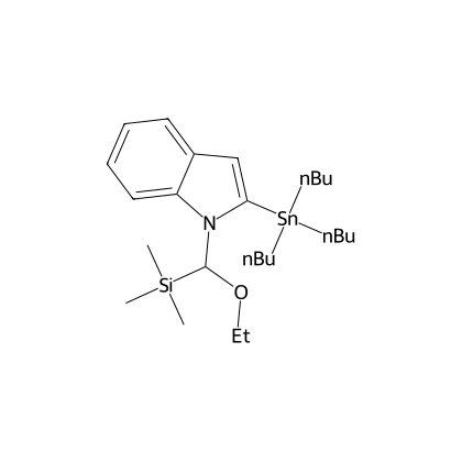 CCC[CH2][Sn]([CH2]CCC)([CH2]CCC)[c]1cc2ccccc2n1C(OCC)[Si](C)(C)C